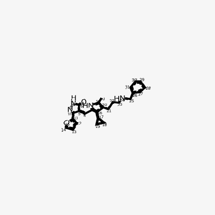 Cc1[nH]c(C=C2C(=O)NN=C2c2ccco2)c(C2CC2)c1CCCNCc1ccccc1